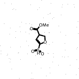 COC(=O)C1C=C([SH](=O)=O)OC1